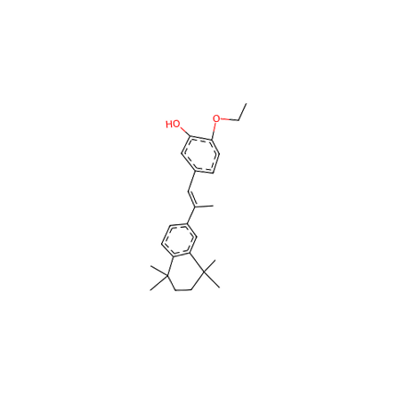 CCOc1ccc(/C=C(\C)c2ccc3c(c2)C(C)(C)CCC3(C)C)cc1O